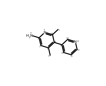 Cc1cc(N)nc(C)c1-c1cccnc1